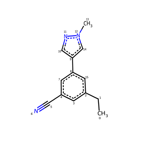 CCc1cc(C#N)cc(-c2cnn(C)c2)c1